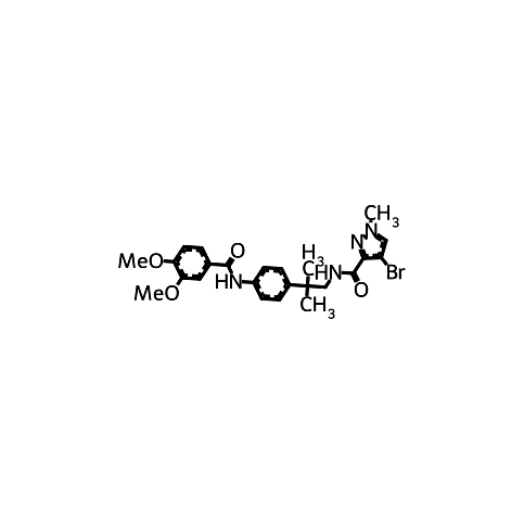 COc1ccc(C(=O)Nc2ccc(C(C)(C)CNC(=O)c3nn(C)cc3Br)cc2)cc1OC